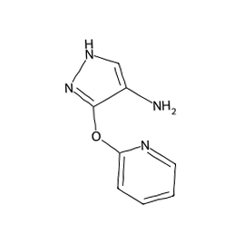 Nc1c[nH]nc1Oc1ccccn1